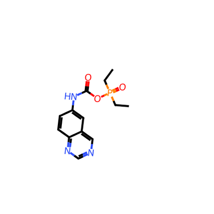 CCP(=O)(CC)OC(=O)Nc1ccc2ncncc2c1